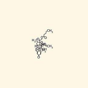 CCCCC(=O)OCC(=O)[C@@]1(OC(=O)OCC)[C@H](C)C[C@H]2[C@@H]3CCC4=CC(=O)C=C[C@]4(C)[C@@]3(Cl)C(O)C[C@@]21C